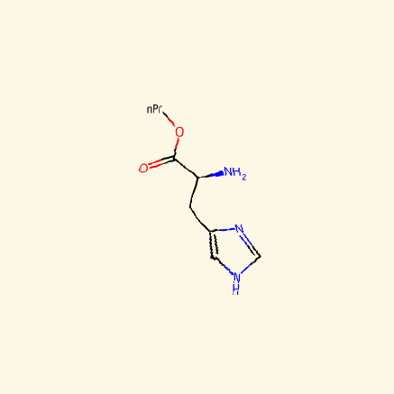 CCCOC(=O)[C@@H](N)Cc1c[nH]cn1